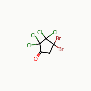 O=C1CC(Br)(Br)C(Cl)(Cl)C1(Cl)Cl